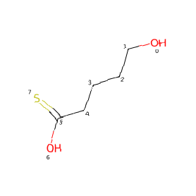 OCCCCC(O)=S